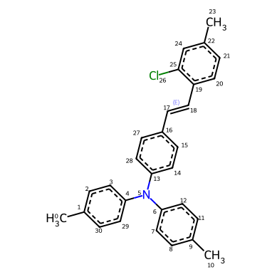 Cc1ccc(N(c2ccc(C)cc2)c2ccc(/C=C/c3ccc(C)cc3Cl)cc2)cc1